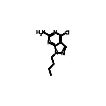 CCCCn1ncc2c(Cl)nc(N)nc21